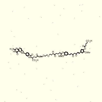 COc1cc(/C=C/C(=O)CC(=O)/C=C/c2ccc(OC(=O)CCCC(=O)NCCOCCOCCNC(=O)COC(NC(=O)c3ccc(NCc4cnc5nc(N)[nH]c(=O)c5n4)cc3)C(=O)O)c(OC)c2)ccc1OC(=O)CCCC(=O)O